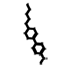 CCCCCC1CC=C(c2ccc(OC)cc2)CC1